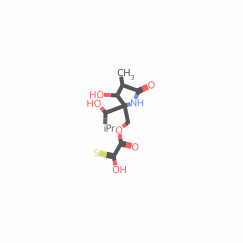 CC(C)C(O)C1(COC(=O)C(O)=S)NC(=O)C(C)C1O